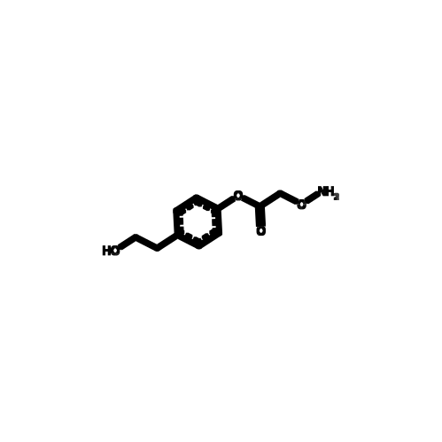 NOCC(=O)Oc1ccc(CCO)cc1